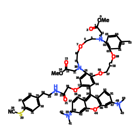 COC(=O)CN1CCOCCN(CC(=O)OC)c2cc(OCC(=O)NCCc3ccc(SC#N)cc3)c(-c3c4ccc(=[N+](C)C)cc-4oc4cc(N(C)C)ccc34)cc2OCCOc2cc(C)ccc21